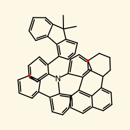 CC1(C)c2ccccc2-c2c(-c3ccccc3N(c3ccccc3-c3ccccc3)c3ccccc3-c3cccc4cccc(C5CCCCC5)c34)cccc21